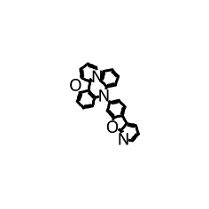 c1ccc(N(c2ccc3c(c2)oc2ncccc23)c2cccc3oc4cccnc4c23)cc1